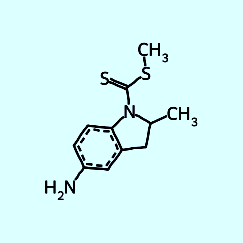 CSC(=S)N1c2ccc(N)cc2CC1C